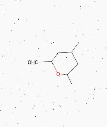 CC1CC(C)OC(C=O)C1